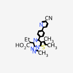 CC[C@H](C(=O)O)C1N=C(c2ccc(-c3ccc(C#N)cn3)cc2)c2c(sc(C)c2C)-n2c(C)nnc21